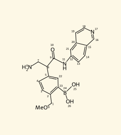 COCc1ccc(C(CN)C(=O)Nc2ccc3cnccc3c2)cc1B(O)O